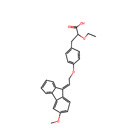 CCOC(Cc1ccc(OC/C=C2\c3ccccc3-c3cc(OC)ccc32)cc1)C(=O)O